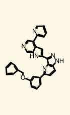 c1ccc(COc2cccc(-c3ccc4[nH]nc(-c5cc6c(-c7ccccn7)cncc6[nH]5)c4n3)c2)cc1